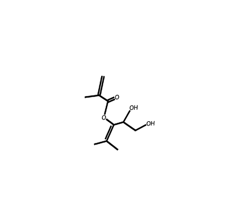 C=C(C)C(=O)OC(=C(C)C)C(O)CO